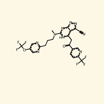 CN(CCCc1ncc(OC(F)(F)F)cn1)c1nc2nnc(C#N)c-2c(CC(=O)c2ccc(C(F)(F)F)nc2)[nH]1